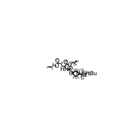 C=CCOC(=O)CCC(NC(=O)Oc1ccc(C(C)(C)O[SiH2]C(C)(C)C)cc1)C(=O)OCC=C